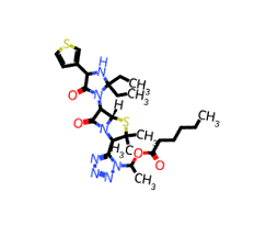 CCCCCC(=O)OC(C)n1nnnc1C1N2C(=O)C(N3C(=O)C(c4ccsc4)NC3(CC)CC)[C@@H]2SC1(C)C